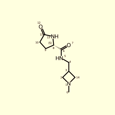 CN1CC(CNC(=O)[C@@H]2CCC(=O)N2)C1